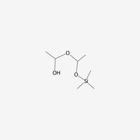 CC(O)OC(C)O[Si](C)(C)C